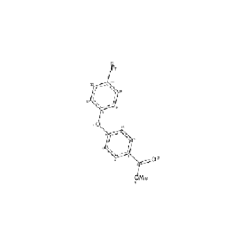 COC(=O)c1ccc(Oc2ccc(C(C)C)cc2)cc1